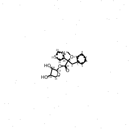 COC(Cc1ccccc1)(C(=O)OC1OCC(O)C1O)c1cscn1